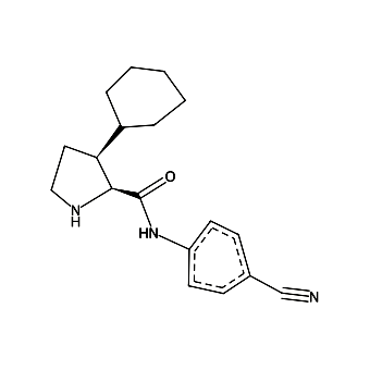 N#Cc1ccc(NC(=O)[C@H]2NCC[C@H]2C2CCCCC2)cc1